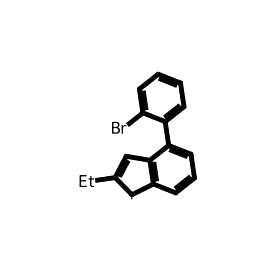 CCC1=Cc2c(cccc2-c2ccccc2Br)[CH]1